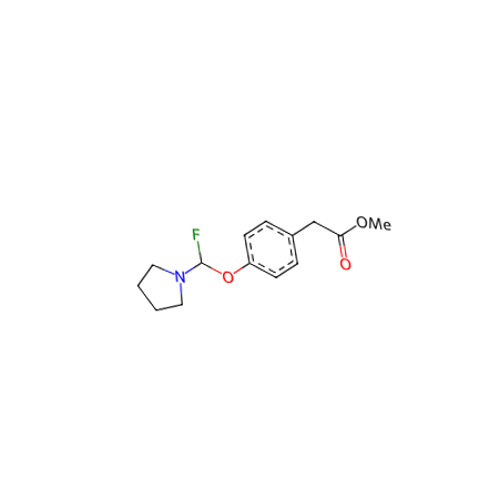 COC(=O)Cc1ccc(OC(F)N2CCCC2)cc1